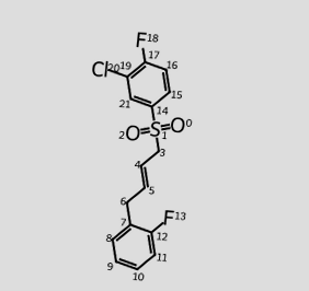 O=S(=O)(CC=CCc1ccccc1F)c1ccc(F)c(Cl)c1